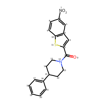 O=C(c1cc2cc([N+](=O)[O-])ccc2s1)N1CCC(c2ccccc2)CC1